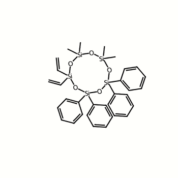 C=C[Si]1(C=C)O[Si](C)(C)O[Si](C)(C)O[Si](c2ccccc2)(c2ccccc2)O[Si](c2ccccc2)(c2ccccc2)O1